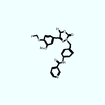 CCC1OC(=O)N(Cc2ccc(NC(=O)c3cccnc3)cc2)N=C1c1ccc(OCF)c(OC)c1